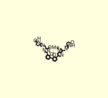 COc1nc(-c2cccc(-c3cccc(-c4cnc5c(CN6CC7(CCC(=O)N7)C6)cn(C)c5c4)c3Cl)c2Cl)cnc1CN1CC2(CCC(=O)N2)C1